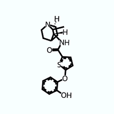 C[C@H]1[C@H](NC(=O)c2ccc(Oc3ccccc3O)s2)C2CCN1CC2